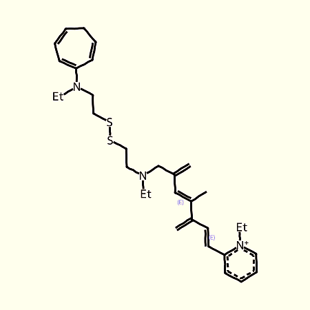 C=C(/C=C(\C)C(=C)/C=C/c1cccc[n+]1CC)CN(CC)CCSSCCN(CC)C1=CC=CCC=C1